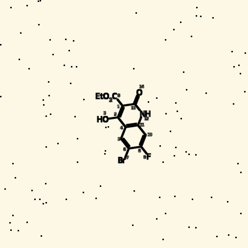 CCOC(=O)c1c(O)c2cc(Br)c(F)cc2[nH]c1=O